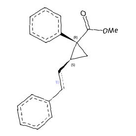 COC(=O)[C@]1(c2ccccc2)C[C@H]1/C=C/c1ccccc1